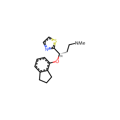 CNCC[C@H](Oc1cccc2c1CCC2)c1nccs1